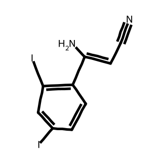 N#C/C=C(\N)c1ccc(I)cc1I